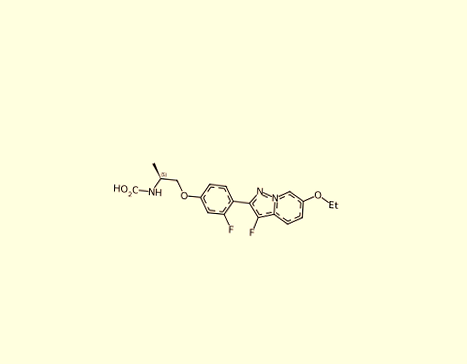 CCOc1ccc2c(F)c(-c3ccc(OC[C@H](C)NC(=O)O)cc3F)nn2c1